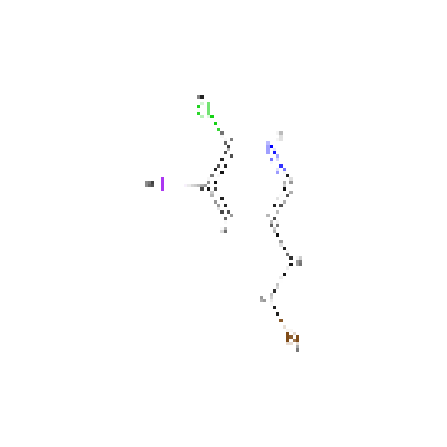 Clc1ncc(CCBr)cc1I